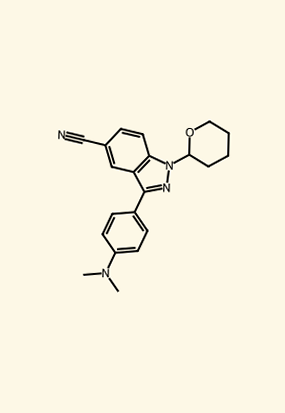 CN(C)c1ccc(-c2nn(C3CCCCO3)c3ccc(C#N)cc23)cc1